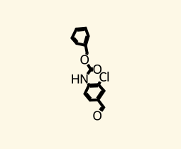 O=Cc1ccc(NC(=O)OCc2ccccc2)c(Cl)c1